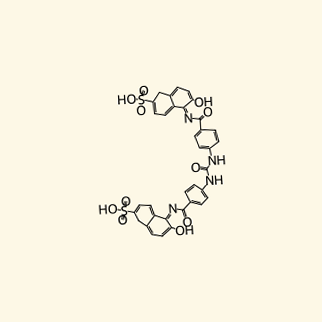 O=C(Nc1ccc(C(=O)N=C2C(O)=CC=C3CC(S(=O)(=O)O)=CC=C32)cc1)Nc1ccc(C(=O)N=C2C(O)=CC=C3CC(S(=O)(=O)O)=CC=C32)cc1